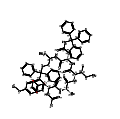 CCOc1ccc(C[C@@H](NC(=O)CC)C(=O)N[C@H](C(=O)N[C@H](C(=O)N[C@@H](CC(=O)NC(c2ccccc2)(c2ccccc2)c2ccccc2)C(=O)N[C@@H](CSC(c2ccccc2)(c2ccccc2)c2ccccc2)C(=O)O)[C@@H](C)OC(C)(C)C)[C@@H](C)CC)cc1